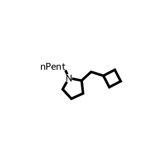 CCCCCN1CCCC1CC1CCC1